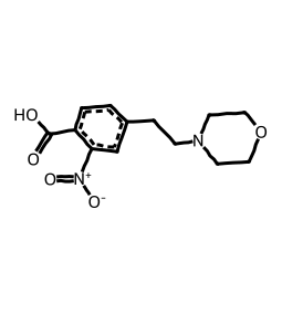 O=C(O)c1ccc(CCN2CCOCC2)cc1[N+](=O)[O-]